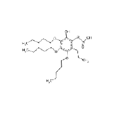 CCCCCOc1c(O)c(OC(=O)O)c(CCC)c(OCCCCC)c1OCCCCC